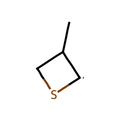 CC1[CH]SC1